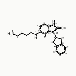 NCCCCNc1ncc2[nH]c(=O)n(C3Cc4ccccc4C3)c2n1